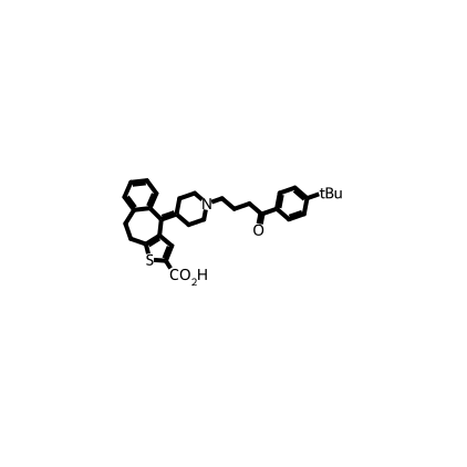 CC(C)(C)c1ccc(C(=O)CCCN2CCC(=C3c4ccccc4CCc4sc(C(=O)O)cc43)CC2)cc1